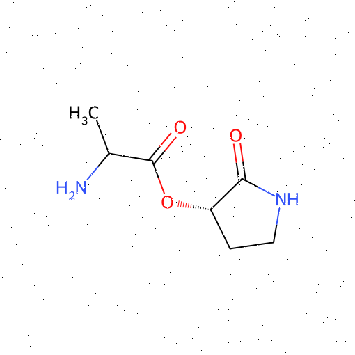 CC(N)C(=O)O[C@H]1CCNC1=O